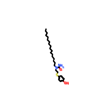 CCCCCCCCCCCCCCCCCCN(CCSc1ccc(O)cc1)C(N)=O